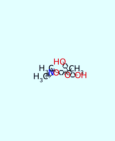 CC1=C(c2ccc(O)cc2)[C@H](c2ccc(OC[C@H](C)N3CC[C@@H](C)C3)cc2)Oc2ccc(O)cc21